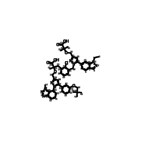 CCn1ncc2ccc(-c3cc(COC(C)(C)C(=O)O)nn3Cc3cccc(CC(C)(OCc4cc(-c5cccc(OCC(C)(C)C)c5)n(-c5cccc6nnn(C)c56)n4)C(=O)O)c3Cl)cc21